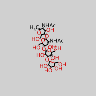 CC(=O)NC1C(O)[C@H](O[C@@H]2OC(CO)[C@@H](O[C@@H]3OC(CO)[C@@H](O)C(OC4OC(CO)C(O)C(O)C4O)C3O)C(O)[C@H]2NC(C)=O)C(CO)O[C@H]1C